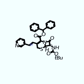 CC(C)(C)OC(=O)N[C@@H]1C(=O)N2C(C(=O)OC(c3ccccc3)c3ccccc3)=C(/C=C/c3cccnc3)CS[C@@H]12